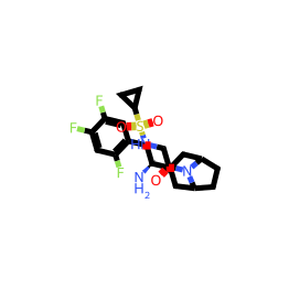 N[C@@H](Cc1cc(F)c(F)cc1F)C1CC2CCC(C1)N2C(=O)CNS(=O)(=O)C1CC1